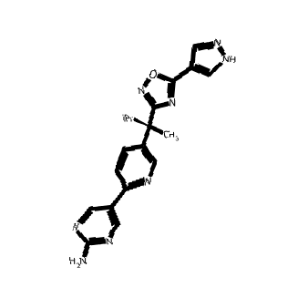 CC(C)[C@@](C)(c1ccc(-c2cnc(N)nc2)nc1)c1noc(-c2cn[nH]c2)n1